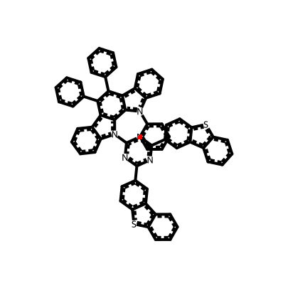 c1ccc(-c2c(-c3ccccc3)c3c4ccccc4n(-c4nc(-c5ccc6sc7ccccc7c6c5)nc(-c5ccc6sc7ccccc7c6c5)n4)c3c3c2c2ccccc2n3-c2ccccc2)cc1